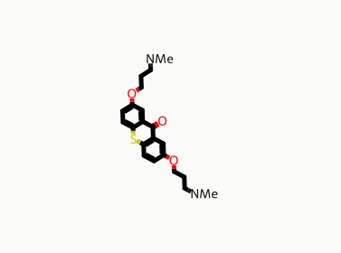 CNCCCOc1ccc2sc3ccc(OCCCNC)cc3c(=O)c2c1